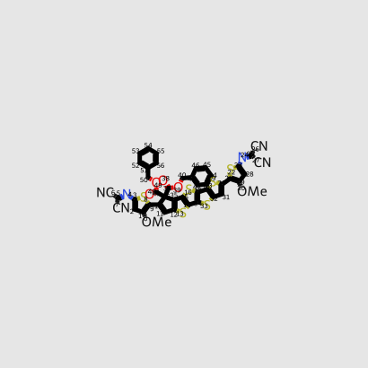 COc1cc(N=C(C#N)C#N)sc1C1=Cc2sc3c(sc4c5sc(-c6sc(N=C(C#N)C#N)cc6OC)cc5sc34)c2C1(C(=O)OCc1ccccc1)C(=O)OCc1ccccc1